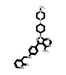 CN1CCN([C@H]2CC[C@H](n3nc(-c4ccc(NCc5ccc[nH]c5=O)cc4)c4c(N)ncnc43)CC2)CC1